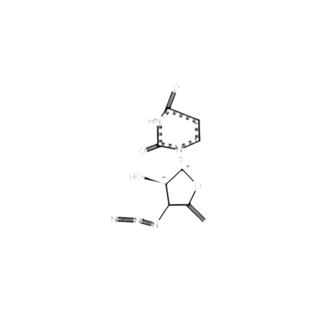 C=C1O[C@@H](n2ccc(=O)[nH]c2=O)[C@H](O)C1N=[N+]=[N-]